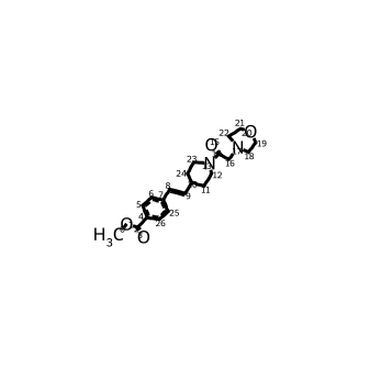 COC(=O)c1ccc(/C=C/C2CCN(C(=O)CN3CCOCC3)CC2)cc1